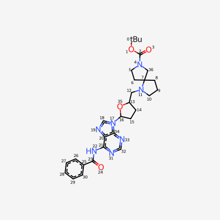 CC(C)(C)OC(=O)N1CCC2(CCCN2CC2CCC(n3cnc4c(NC(=O)c5ccccc5)ncnc43)O2)C1